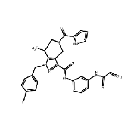 C=CC(=O)Nc1cccc(NC(=O)c2nn(Cc3ccc(F)cc3)c3c2CN(C(=O)c2ccc[nH]2)CC3C)c1